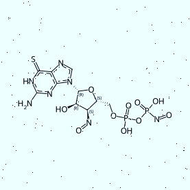 Nc1nc2c(ncn2[C@@H]2O[C@H](COP(=O)(O)OP(=O)(O)N=O)[C@@H](N=O)[C@H]2O)c(=S)[nH]1